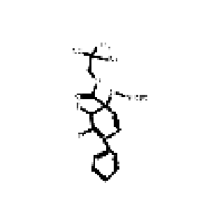 CCCCCCCOC1(C(=O)OCC(C)(C#N)CCCC)C=CC(c2ccccc2)=C(F)C1F